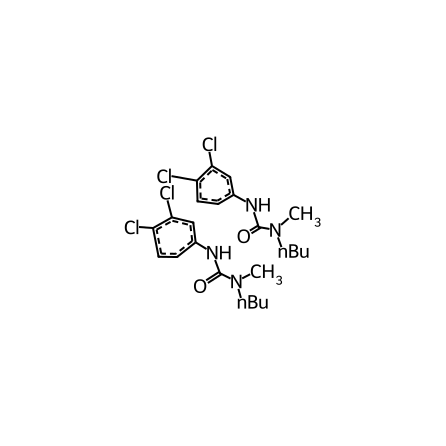 CCCCN(C)C(=O)Nc1ccc(Cl)c(Cl)c1.CCCCN(C)C(=O)Nc1ccc(Cl)c(Cl)c1